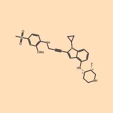 COc1cc(S(C)(=O)=O)ccc1NCC#Cc1cc2c(N[C@H]3CCNC[C@H]3F)cccc2n1C1CC1